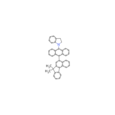 CC1(C)c2ccccc2-c2c1cc(-c1c3ccccc3c(N3CCc4ccccc43)c3ccccc13)c1ccccc21